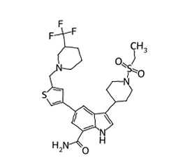 CCS(=O)(=O)N1CCC(c2c[nH]c3c(C(N)=O)cc(-c4csc(CN5CCCC(C(F)(F)F)C5)c4)cc23)CC1